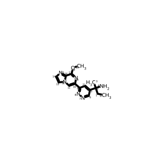 CCC(C)(N)c1cnnc(-c2cn3ccnc3c(OC)n2)c1